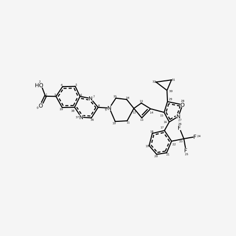 O=C(O)c1ccc2nc(N3CCC4(C=C(c5c(-c6ccccc6C(F)(F)F)noc5C5CC5)C4)CC3)cnc2c1